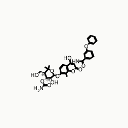 Cc1c(O[C@@H]2OC(C)(C)[C@H](CO)[C@@H](OC(N)=O)[C@H]2O)ccc2c(O)c(NC(=O)c3cccc(Oc4ccccc4)c3)c(=O)oc12